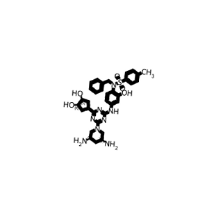 Cc1ccc(S(=O)(=O)N(Cc2ccccc2)c2ccc(Nc3nc(C4C[C@@H](O)[C@@H](O)C4)nc(N4C[C@H](N)C[C@H](N)C4)n3)cc2O)cc1